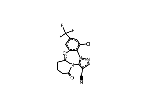 N#Cc1cnn(-c2c(Cl)cc(C(F)(F)F)cc2Cl)c1N1C(=O)CCCC1=O